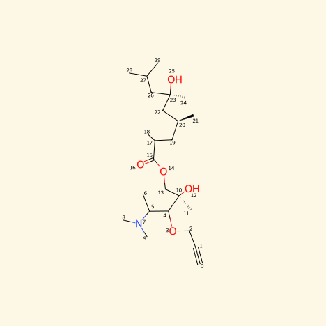 C#CCOC(C(C)N(C)C)[C@](C)(O)COC(=O)C(C)C[C@H](C)C[C@](C)(O)CC(C)C